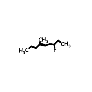 CCC/C(C)=C/C[C@H](F)CC